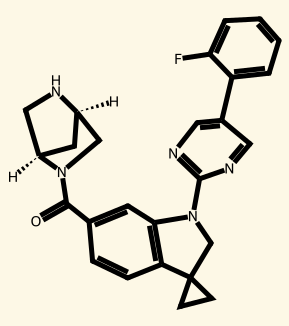 O=C(c1ccc2c(c1)N(c1ncc(-c3ccccc3F)cn1)CC21CC1)N1C[C@H]2C[C@@H]1CN2